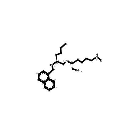 CCCC[C@@H](CN[C@@H](CN)CCCCNC)NCc1cccc2ccccc12